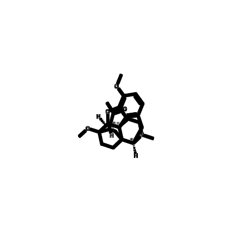 COc1ccc2c3c1O[C@H]1C4(OC)CCC5(C[C@@H]4C(C)=O)[C@@H](C2)N(C)CC[C@]315